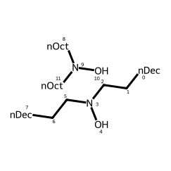 CCCCCCCCCCCCN(O)CCCCCCCCCCCC.CCCCCCCCN(O)CCCCCCCC